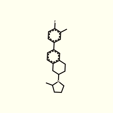 Cc1cc(-c2ccc3c(c2)CCC(N2CCCC2C)C3)ccc1F